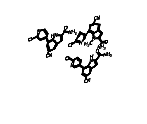 Cn1c(C(N)=O)cc2cc(C#N)cc(-c3ccc(Cl)nc3)c21.N#Cc1cc(-c2ccc(Cl)nc2)c2[nH]c(C(N)=O)cc2c1.N#Cc1cc(-c2ccnc(Cl)c2)c2[nH]c(C(N)=O)cc2c1